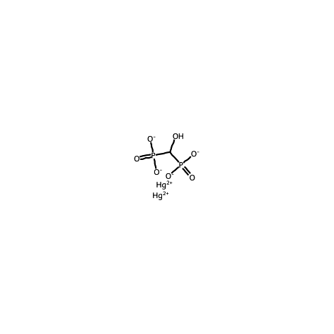 O=P([O-])([O-])C(O)P(=O)([O-])[O-].[Hg+2].[Hg+2]